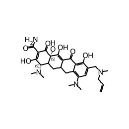 C=CCN(C)Cc1cc(N(C)C)c2c(c1O)C(=O)C1=C(O)[C@]3(O)C(=O)C(C(N)=O)=C(O)[C@@H](N(C)C)C3CC1C2